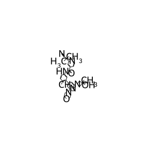 Cc1ccc(NC(=O)c2ccnc(C(C)(C)C#N)c2)cc1-c1cc(N2CCOCC2)nc(N2CC(C)(O)C2)c1